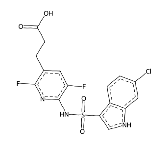 O=C(O)CCc1cc(F)c(NS(=O)(=O)c2c[nH]c3cc(Cl)ccc23)nc1F